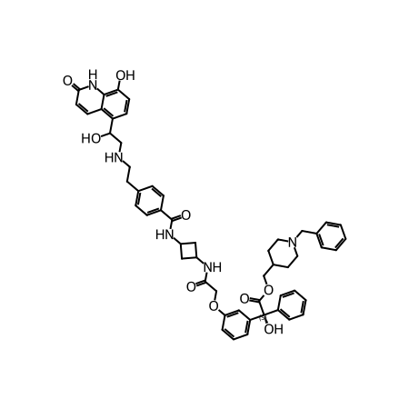 O=C(COc1cccc([C@](O)(C(=O)OCC2CCN(Cc3ccccc3)CC2)c2ccccc2)c1)NC1CC(NC(=O)c2ccc(CCNCC(O)c3ccc(O)c4[nH]c(=O)ccc34)cc2)C1